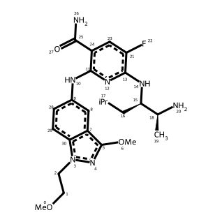 COCCn1nc(OC)c2cc(Nc3nc(N[C@H](CC(C)C)[C@H](C)N)c(F)cc3C(N)=O)ccc21